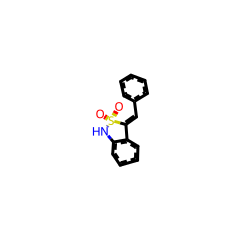 O=S1(=O)Nc2ccccc2C1=Cc1ccccc1